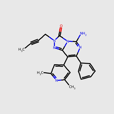 CC#CCn1nc2c(-c3cc(C)nc(C)c3)c(-c3ccccc3)nc(N)n2c1=O